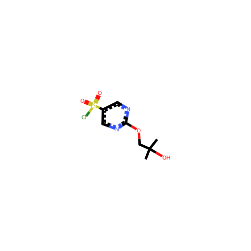 CC(C)(O)COc1ncc(S(=O)(=O)Cl)cn1